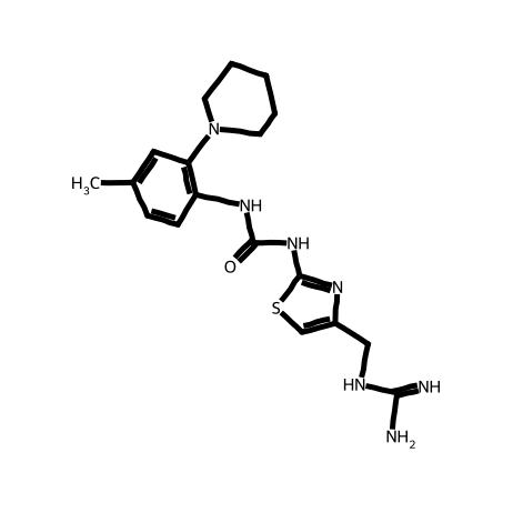 Cc1ccc(NC(=O)Nc2nc(CNC(=N)N)cs2)c(N2CCCCC2)c1